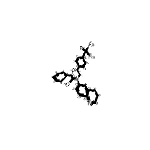 O=C([C@@H](O)c1ccccc1)N(CCc1ccc(C(F)(F)F)cc1)c1ccc2ncccc2c1